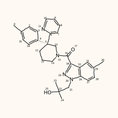 Cc1ccc([C@@]2(c3ccccn3)CCCN(C(=O)c3nn(CC(C)(C)O)c4ccc(C)cc34)C2)cc1